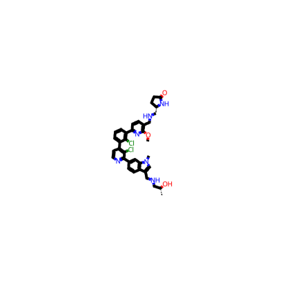 COc1nc(-c2cccc(-c3ccnc(-c4ccc5c(CNC[C@@H](C)O)cn(C)c5c4)c3Cl)c2Cl)ccc1CNC[C@@H]1CCC(=O)N1